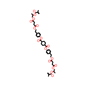 C=C(C)C(=O)OC(C)COC(=O)CCC(=O)OCCc1ccc(OC(=O)C2CCC(C(=O)Oc3ccc(CCOC(=O)CCC(=O)OCC(C)OC(=O)C(=C)C)cc3)CC2)cc1